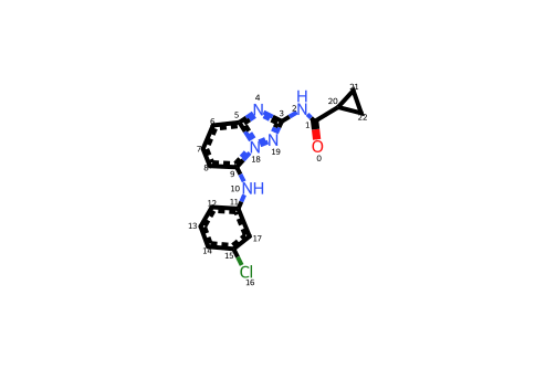 O=C(Nc1nc2cccc(Nc3cccc(Cl)c3)n2n1)C1CC1